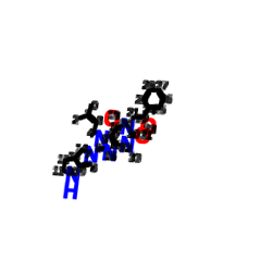 CC(C)=CCn1c(N2C=C3NCCC3C2)nc2c1c(=O)n(CC(=O)c1ccccc1)c(=O)n2C